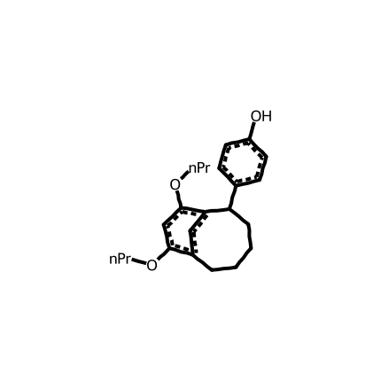 CCCOc1cc(OCCC)c2cc1CCCCC2c1ccc(O)cc1